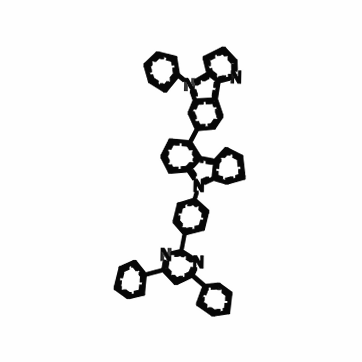 c1ccc(-c2cc(-c3ccccc3)nc(-c3ccc(-n4c5ccccc5c5c(-c6ccc7c8ncccc8n(-c8ccccc8)c7c6)cccc54)cc3)n2)cc1